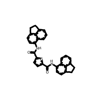 O=C(Nc1ccc2c3c(cccc13)CC2)c1ccc(C(=O)Nc2ccc3c4c(cccc24)CC3)s1